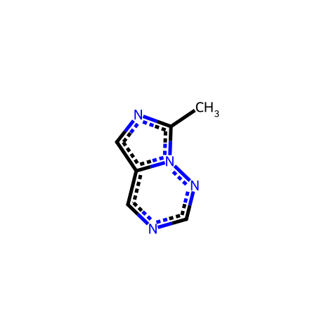 Cc1ncc2cncnn12